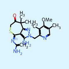 C=C(N)/N=C1/SCC(=O)C(C)(C)c2nn(Cc3ncc(C)c(OC)c3C)c(N)c21